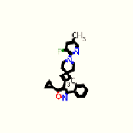 Cc1cnc(N2CCC3(C=C(c4c(-c5ccccc5C(F)(F)F)noc4C4CC4)C3)CC2)c(F)c1